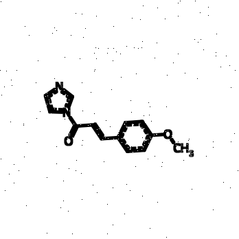 COc1ccc(C=CC(=O)n2ccnc2)cc1